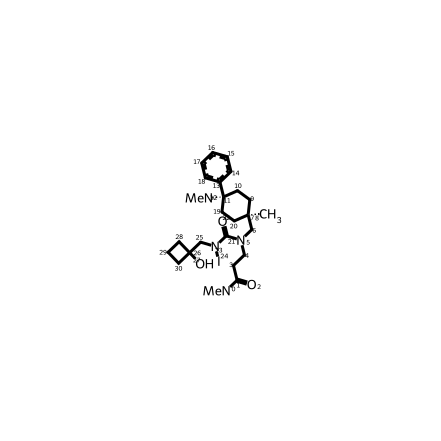 CNC(=O)CCN(C[C@]1(C)CC[C@](NC)(c2ccccc2)CC1)C(=O)N(I)CC1(O)CCC1